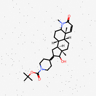 CN1C(=O)C=C[C@@]2(C)C1CC[C@@H]1[C@H]2CC[C@]2(C)C(O)C(=C3CCN(C(=O)OC(C)(C)C)CC3)C[C@@H]12